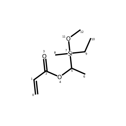 C=CC(=O)OC(C)[Si](C)(CC)OC